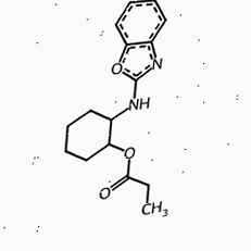 CCC(=O)OC1CCCCC1Nc1nc2ccccc2o1